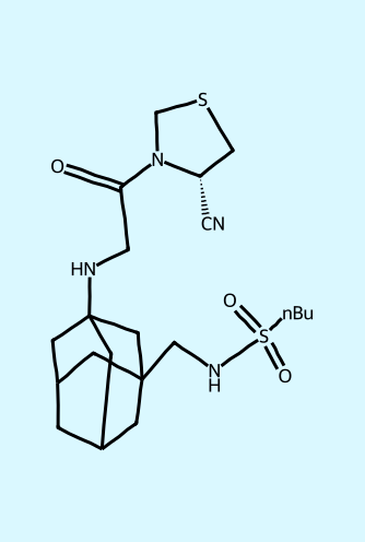 CCCCS(=O)(=O)NCC12CC3CC(C1)CC(NCC(=O)N1CSC[C@@H]1C#N)(C3)C2